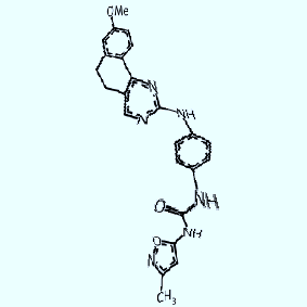 COc1ccc2c(c1)CCc1cnc(Nc3ccc(NC(=O)Nc4cc(C)no4)cc3)nc1-2